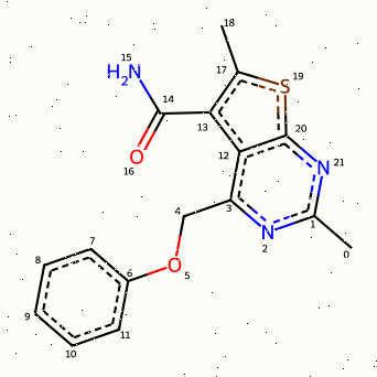 Cc1nc(COc2ccccc2)c2c(C(N)=O)c(C)sc2n1